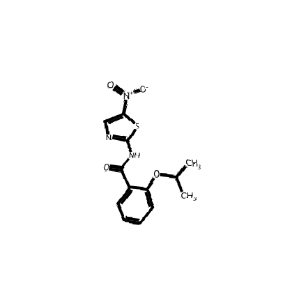 CC(C)Oc1ccccc1C(=O)Nc1ncc([N+](=O)[O-])s1